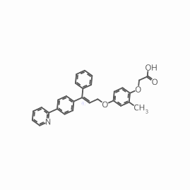 Cc1cc(OC/C=C(\c2ccccc2)c2ccc(-c3ccccn3)cc2)ccc1OCC(=O)O